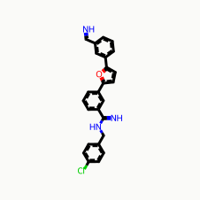 N=Cc1cccc(-c2ccc(-c3cccc(C(=N)NCc4ccc(Cl)cc4)c3)o2)c1